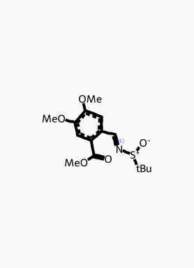 COC(=O)c1cc(OC)c(OC)cc1/C=N/[S+]([O-])C(C)(C)C